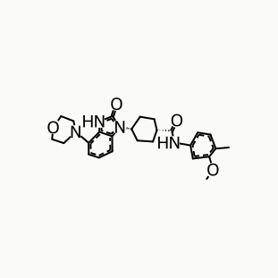 COc1cc(NC(=O)[C@H]2CC[C@@H](n3c(=O)[nH]c4c(N5CCOCC5)cccc43)CC2)ccc1C